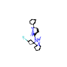 FC1CC(Nc2ccc(-c3ccccc3)nn2)(c2ccccn2)C1